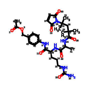 BC(=O)OCc1ccc(NC(=O)[C@H](CCCNC(N)=O)NC(=O)C(NC(=O)C(C)(C)CC(C)(C)N2C(=O)C=CC2=O)C(C)C)cc1